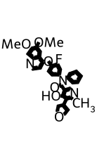 COc1cc2nccc(Oc3ccc(N(C(=O)c4cnc(C)c(C5=CCOCC5)c4O)c4ccccc4)cc3F)c2cc1OC